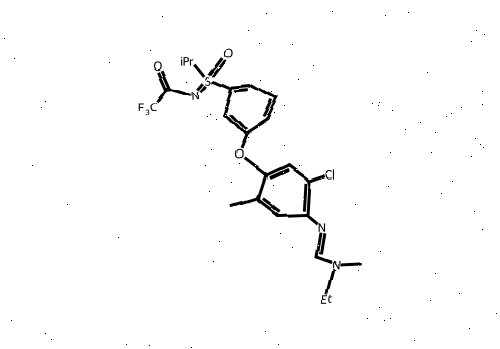 CCN(C)C=Nc1cc(C)c(Oc2cccc(S(=O)(=NC(=O)C(F)(F)F)C(C)C)c2)cc1Cl